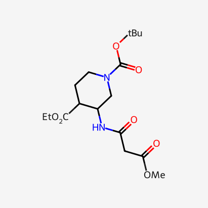 CCOC(=O)C1CCN(C(=O)OC(C)(C)C)CC1NC(=O)CC(=O)OC